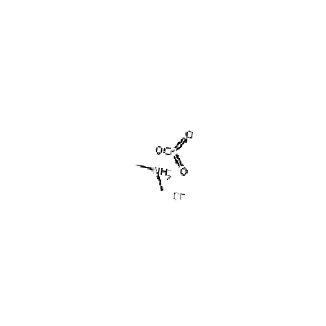 C[NH2+]C.[Cl-].[O]=[Cr](=[O])=[O]